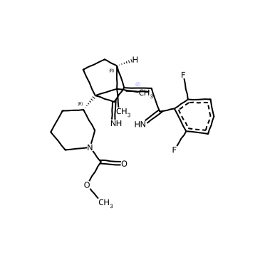 COC(=O)N1CCC[C@H](C23CC[C@@H](/C(=C/C(=N)c4c(F)cccc4F)C2=N)C3(C)C)C1